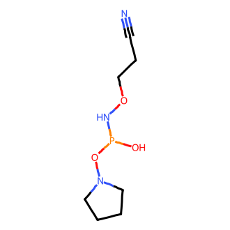 N#CCCONP(O)ON1CCCC1